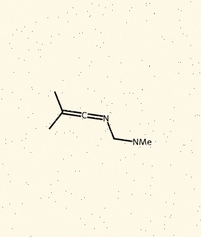 CNCN=C=C(C)C